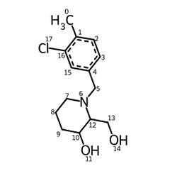 Cc1ccc(CN2CCCC(O)C2CO)cc1Cl